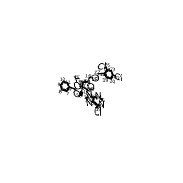 C#C[C@@]1(OC(=O)c2ccccc2)[C@H](F)[C@@H](COCc2ccc(Cl)cc2Cl)O[C@H]1n1cnc2c(Cl)ncnc21